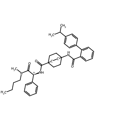 CCCCN(C)C(=O)[C@@H](NC(=O)C12CCC(NC(=O)c3ccccc3-c3ccc(C(C)C)cc3)(CC1)CC2)c1ccccc1